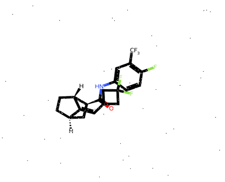 O=C(Nc1ccc(F)c(C(F)(F)F)c1)[C@H]1C[C@H]2CC[C@H]1/C2=C\C1CC(F)(F)C1